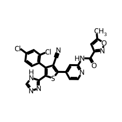 Cc1cc(C(=O)Nc2cc(-c3sc(-c4nnc[nH]4)c(-c4ccc(Cl)cc4Cl)c3C#N)ccn2)no1